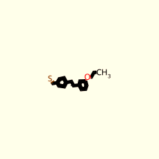 CCCOc1cccc([CH]Cc2ccc(C=S)cc2)c1